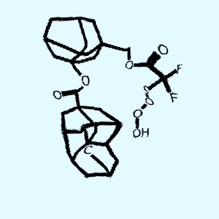 O=C(OC12CC3CC(CC(COC(=O)C(F)(F)SOOO)(C3)C1)C2)C12CC3C4CC5CC3C(C1)C(C5)C4C2